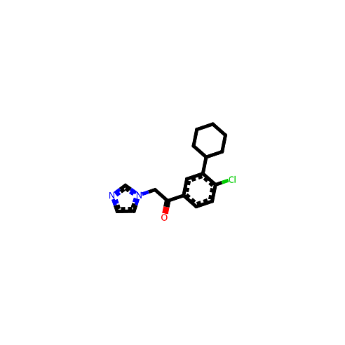 O=C(Cn1ccnc1)c1ccc(Cl)c(C2CCCCC2)c1